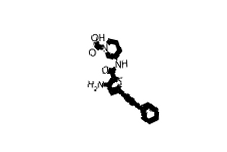 Nc1cc(C#Cc2ccccc2)sc1C(=O)N[C@H]1CCCN(C(=O)O)C1